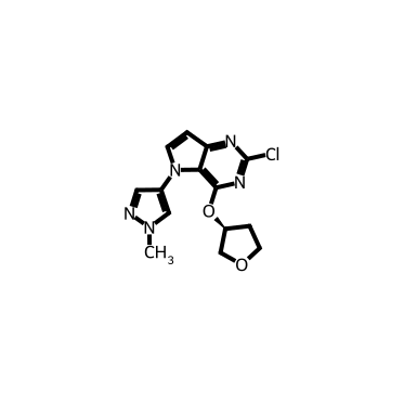 Cn1cc(-n2ccc3nc(Cl)nc(O[C@H]4CCOC4)c32)cn1